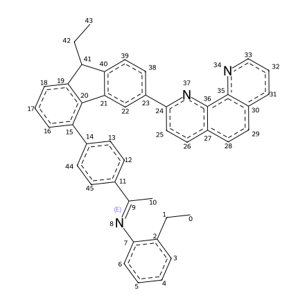 CCc1ccccc1/N=C(\C)c1ccc(-c2cccc3c2-c2cc(-c4ccc5ccc6cccnc6c5n4)ccc2C3CC)cc1